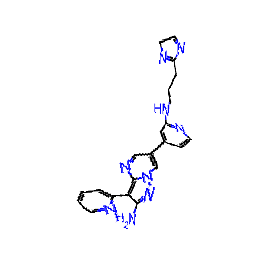 Nc1nn2cc(-c3ccnc(NCCCC4=NCC=N4)c3)cnc2c1-c1ccccn1